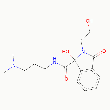 CN(C)CCCNC(=O)C1(O)c2ccccc2C(=O)N1CCO